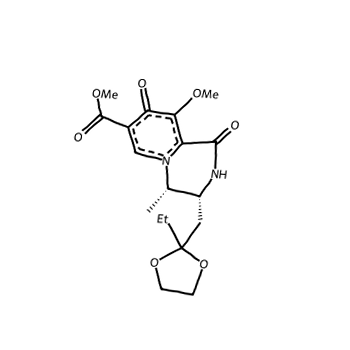 CCC1(C[C@H]2NC(=O)c3c(OC)c(=O)c(C(=O)OC)cn3[C@H]2C)OCCO1